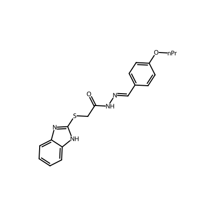 CCCOc1ccc(/C=N/NC(=O)CSc2nc3ccccc3[nH]2)cc1